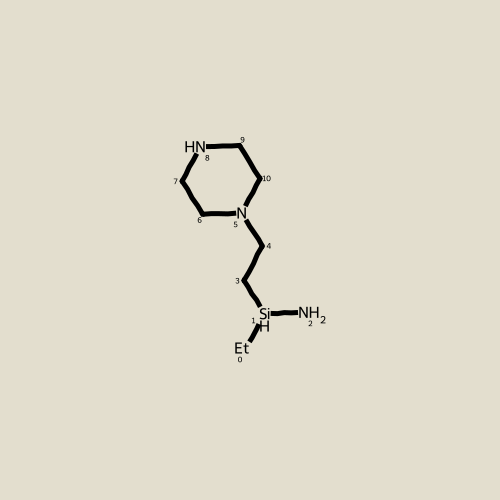 CC[SiH](N)CCN1CCNCC1